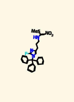 CSC(=C[N+](=O)[O-])NCCCc1cn(C(c2ccccc2)(c2ccccc2)c2ccccc2)c(F)n1